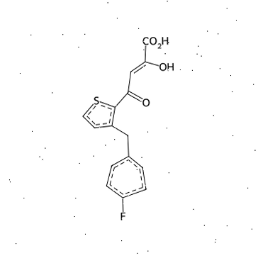 O=C(O)/C(O)=C/C(=O)c1sccc1Cc1ccc(F)cc1